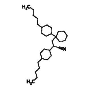 CCCCCC1CCC(C(C#N)CC2(C3CCC(CCCCC)CC3)CCCCC2)CC1